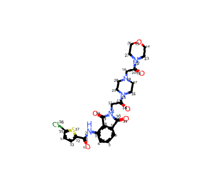 O=C(Nc1cccc2c1C(=O)N(CC(=O)N1CCN(CC(=O)N3CCOCC3)CC1)C2=O)c1ccc(Cl)s1